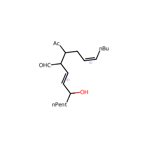 CCCC/C=C\CC(C(C)=O)C(C=O)/C=C/C(O)CCCCC